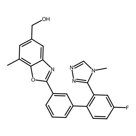 Cc1cc(CO)cc2nc(-c3cccc(-c4ccc(F)cc4-c4nncn4C)c3)oc12